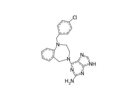 Nc1nc(N2CCN(Cc3ccc(Cl)cc3)c3ccccc3C2)c2nc[nH]c2n1